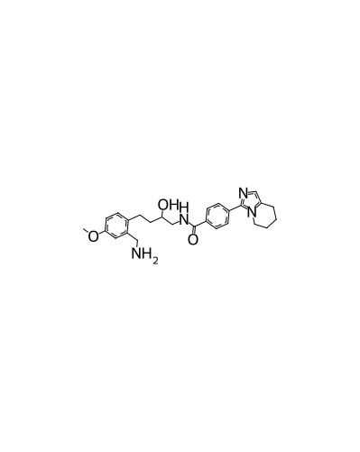 COc1ccc(CCC(O)CNC(=O)c2ccc(-c3ncc4n3CCCC4)cc2)c(CN)c1